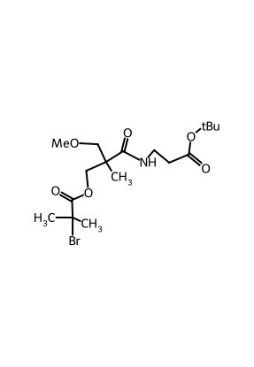 COCC(C)(COC(=O)C(C)(C)Br)C(=O)NCCC(=O)OC(C)(C)C